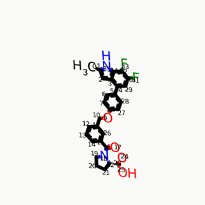 Cc1cc2c(-c3ccc(OCc4cccc(C(=O)N5CCC[C@H]5C(=O)O)c4)cc3)cc(F)c(F)c2[nH]1